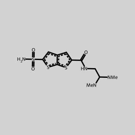 CNC(CNC(=O)c1cc2cc(S(N)(=O)=O)sc2s1)NC